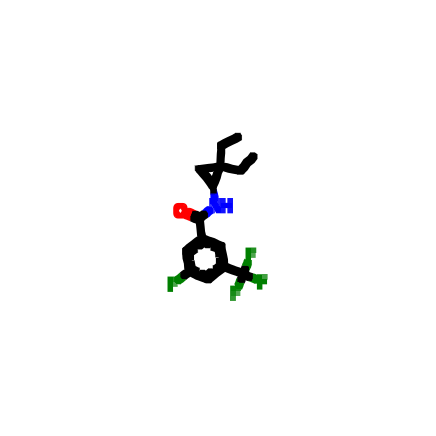 CCC1(CC)C[C@@H]1NC(=O)c1cc(F)cc(C(F)(F)F)c1